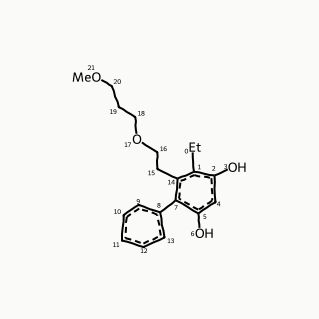 CCc1c(O)cc(O)c(-c2ccccc2)c1CCOCCCOC